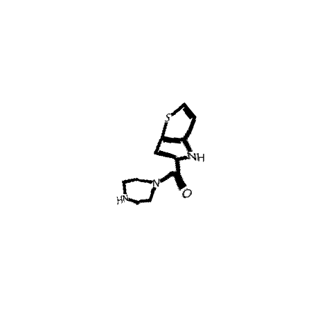 O=C(c1cc2sccc2[nH]1)N1CCNCC1